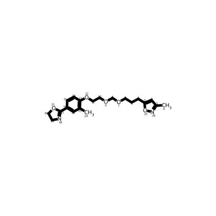 Cc1cc(CCCOCOCCOc2ccc(C3=NCCO3)cc2C)on1